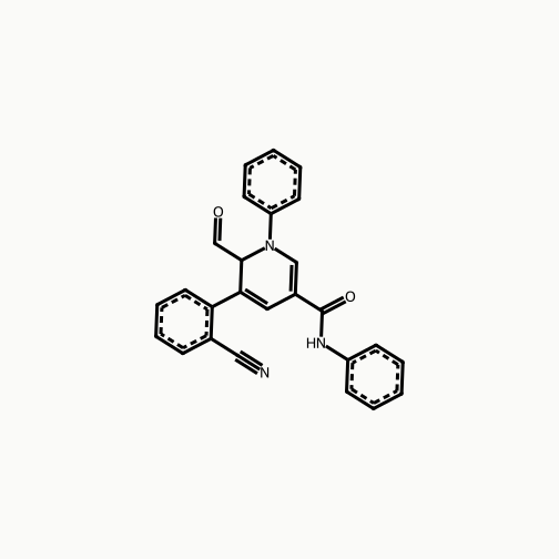 N#Cc1ccccc1C1=CC(C(=O)Nc2ccccc2)=CN(c2ccccc2)C1C=O